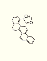 CC(C=O)c1cccc2ccc3c4ccc5ccccc5c4ccc3c12